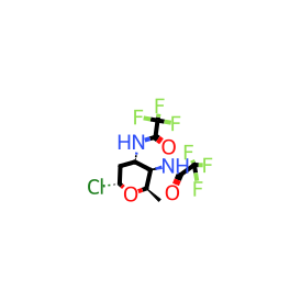 C[C@H]1O[C@H](Cl)C[C@H](NC(=O)C(F)(F)F)[C@H]1NC(=O)C(F)(F)F